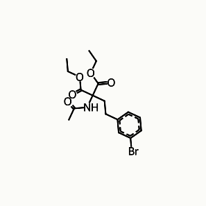 CCOC(=O)C(CCc1cccc(Br)c1)(NC(C)=O)C(=O)OCC